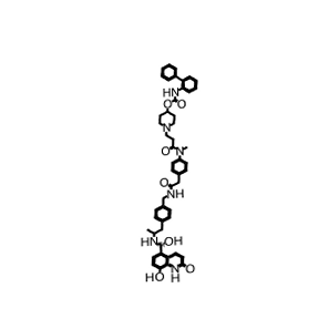 CC(Cc1ccc(CNC(=O)Cc2ccc(N(C)C(=O)CCN3CCC(OC(=O)Nc4ccccc4-c4ccccc4)CC3)cc2)cc1)N[C@H](O)c1ccc(O)c2[nH]c(=O)ccc12